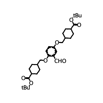 CC(C)(C)OC(=O)C1CCC(COc2ccc(OCC3CCC(C(=O)OC(C)(C)C)CC3)c(C=O)c2)CC1